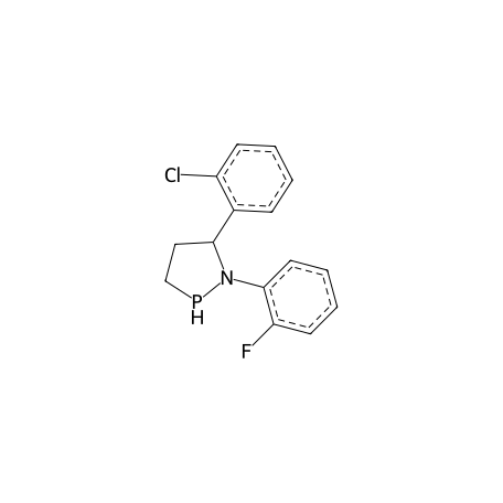 Fc1ccccc1N1PCCC1c1ccccc1Cl